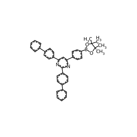 CC1(C)OB(c2ccc(-c3cc(-c4ccc(-c5ccccc5)cc4)nc(-c4ccc(-c5ccccc5)cc4)n3)cc2)OC1(C)C